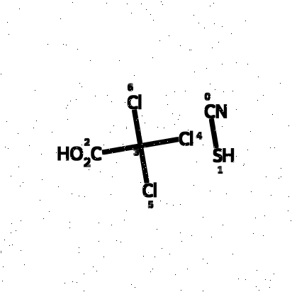 N#CS.O=C(O)C(Cl)(Cl)Cl